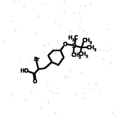 CC(C)(C)[Si](C)(C)OC1CCC(CC(Br)C(=O)O)CC1